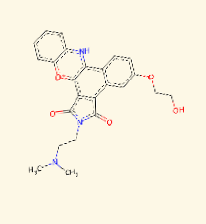 CN(C)CCn1c(=O)c2c3cc(OCCO)ccc3c3[nH]c4ccccc4oc3c2c1=O